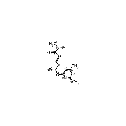 CCC[C@H](C/C=C/C(=O)C(C)F)Oc1cc(C)cc(C)n1